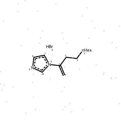 Br.C=C(CCCCCCCC)n1ccnc1